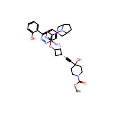 CC(C)(C)OC(=O)N1CCC(O)(C#C[C@H]2C[C@H](Oc3cc(N4C5CCC4CN(c4cc(-c6ccccc6O)nnc4N)C5)ccn3)C2)CC1